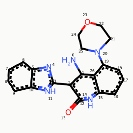 Nc1c(-c2nc3ccccc3[nH]2)c(=O)[nH]c2cccc(N3CCOCC3)c12